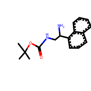 CC(C)(C)OC(=O)NCC(N)c1cccc2ccccc12